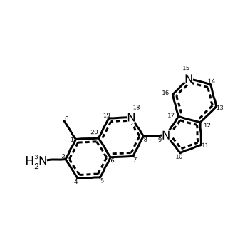 Cc1c(N)ccc2cc(-n3ccc4ccncc43)ncc12